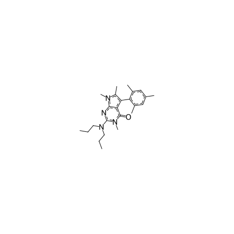 CCCN(CCC)c1nc2c(c(-c3c(C)cc(C)cc3C)c(C)n2C)c(=O)n1C